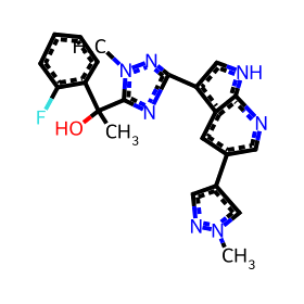 Cn1cc(-c2cnc3[nH]cc(-c4nc(C(C)(O)c5ccccc5F)n(C)n4)c3c2)cn1